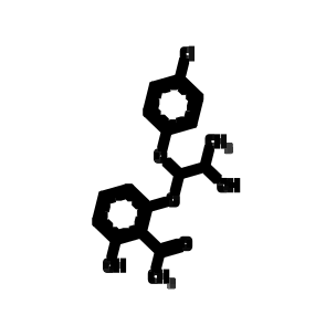 CC(=O)c1c(O)cccc1OC(Oc1ccc(Cl)cc1)C(C)O